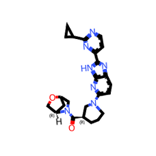 O=C([C@@H]1CCCN(c2ccc3nc(-c4ccnc(C5CC5)n4)[nH]c3n2)C1)N1CC2C[C@@H]1CO2